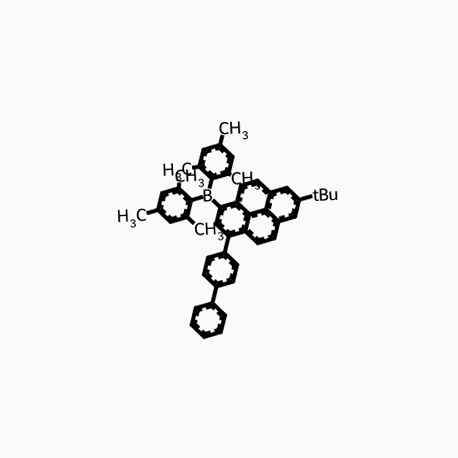 Cc1cc(C)c(B(c2c(C)cc(C)cc2C)c2cc(-c3ccc(-c4ccccc4)cc3)c3ccc4cc(C(C)(C)C)cc5ccc2c3c54)c(C)c1